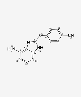 N#Cc1ccc(Sc2nc3c(N)ncnc3[nH]2)cc1